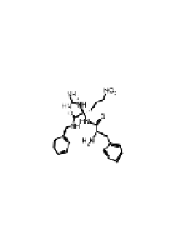 N=C(N)N[C@@](CCC[N+](=O)[O-])(NC(=O)[C@H](N)Cc1ccccc1)C(=O)NCc1ccccc1